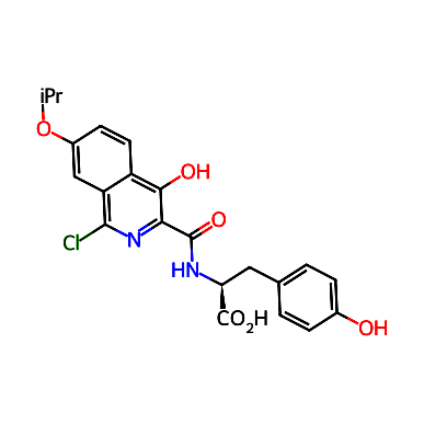 CC(C)Oc1ccc2c(O)c(C(=O)N[C@@H](Cc3ccc(O)cc3)C(=O)O)nc(Cl)c2c1